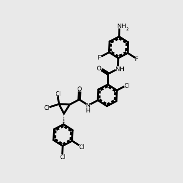 Nc1cc(F)c(NC(=O)c2cc(NC(=O)C3[C@H](c4ccc(Cl)c(Cl)c4)C3(Cl)Cl)ccc2Cl)c(F)c1